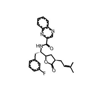 CC(C)=CC[C@@H]1CC([C@H](Cc2cccc(F)c2)NC(=O)c2cnc3ccccc3n2)OC1=O